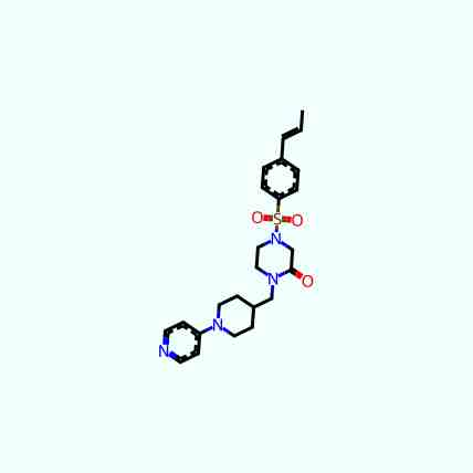 C/C=C/c1ccc(S(=O)(=O)N2CCN(CC3CCN(c4ccncc4)CC3)C(=O)C2)cc1